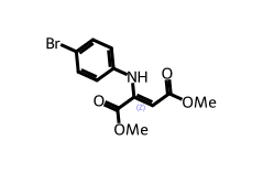 COC(=O)/C=C(\Nc1ccc(Br)cc1)C(=O)OC